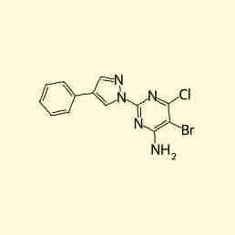 Nc1nc(-n2cc(-c3ccccc3)cn2)nc(Cl)c1Br